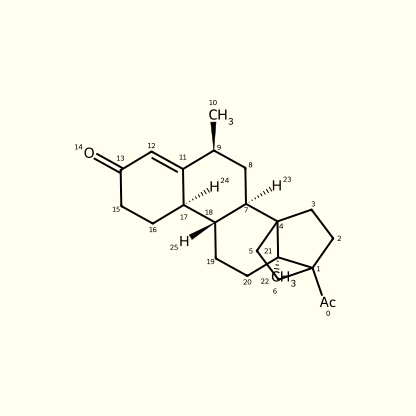 CC(=O)C12CCC3(CC1)[C@@H]1C[C@H](C)C4=CC(=O)CC[C@@H]4[C@H]1CC[C@]23C